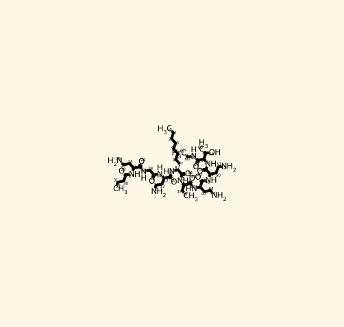 CCCCCCCC[C@@H](NC(=O)C(CCN)NC(=O)CNC(=O)C(CCN)NC(=O)CCC)C(=O)NC(CC)C(=O)NC(CCN)C(=O)NC(CCN)C(=O)NC(C(=O)NCC)C(C)O